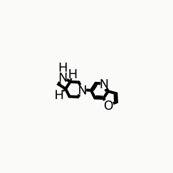 c1cc2ncc(N3CC[C@@H]4CN[C@@H]4C3)cc2o1